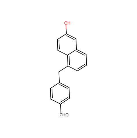 O=Cc1ccc(Cc2cccc3cc(O)ccc23)cc1